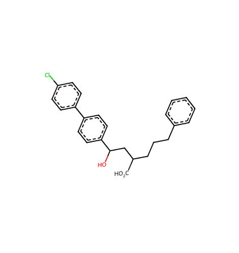 O=C(O)C(CCCc1ccccc1)CC(O)c1ccc(-c2ccc(Cl)cc2)cc1